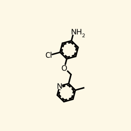 Cc1cccnc1COc1ccc(N)cc1Cl